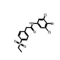 CCS(=O)(=O)c1ccc(CC(=O)Nc2cc(Cl)c(Br)c(Cl)c2)cc1